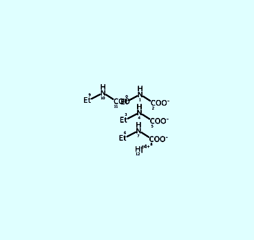 CCNC(=O)[O-].CCNC(=O)[O-].CCNC(=O)[O-].CCNC(=O)[O-].[Hf+4]